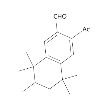 CC(=O)c1cc2c(cc1C=O)C(C)(C)C(C)CC2(C)C